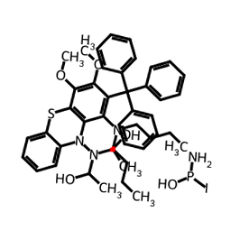 CCCCN(CCCC)c1c2c(c(OC)c(OC)c1C(c1ccccc1)(c1ccccc1)c1ccccc1)Sc1ccccc1N2N(C(C)O)C(C)O.NP(O)I